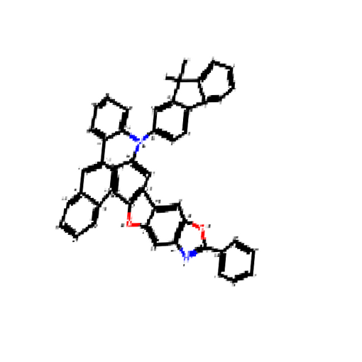 CC1(C)c2ccccc2-c2ccc(N(c3ccc4oc5cc6nc(-c7ccccc7)oc6cc5c4c3)c3ccccc3-c3ccc4ccccc4c3)cc21